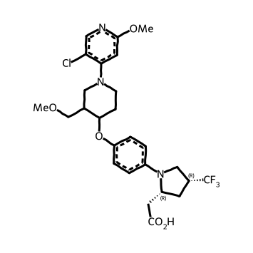 COCC1CN(c2cc(OC)ncc2Cl)CCC1Oc1ccc(N2C[C@H](C(F)(F)F)C[C@@H]2CC(=O)O)cc1